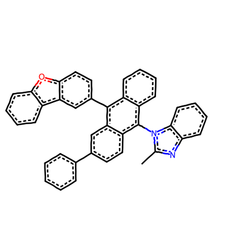 Cc1nc2ccccc2n1-c1c2ccccc2c(-c2ccc3oc4ccccc4c3c2)c2cc(-c3ccccc3)ccc12